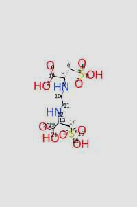 O=C(O)[C@H](CS(=O)(=O)O)NCCN[C@@H](CS(=O)(=O)O)C(=O)O